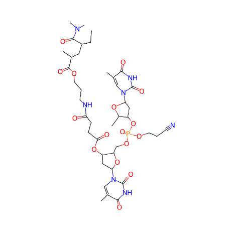 CCC(CC(C)C(=O)OCCCNC(=O)CCC(=O)OC1CC(n2cc(C)c(=O)[nH]c2=O)OC1COP(=O)(OCCC#N)OC1CC(n2cc(C)c(=O)[nH]c2=O)OC1C)C(=O)N(C)C